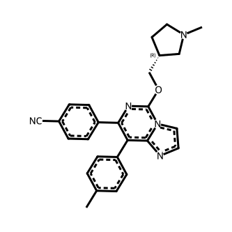 Cc1ccc(-c2c(-c3ccc(C#N)cc3)nc(OC[C@@H]3CCN(C)C3)n3ccnc23)cc1